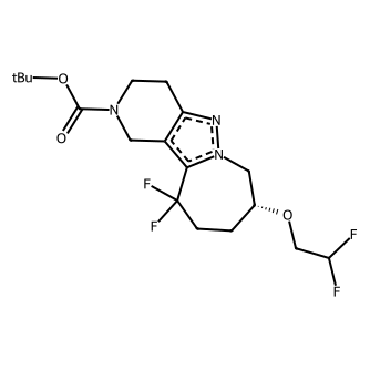 CC(C)(C)OC(=O)N1CCc2nn3c(c2C1)C(F)(F)CC[C@@H](OCC(F)F)C3